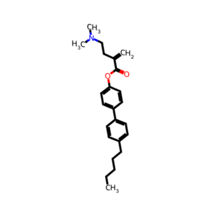 C=C(CCN(C)C)C(=O)Oc1ccc(-c2ccc(CCCCC)cc2)cc1